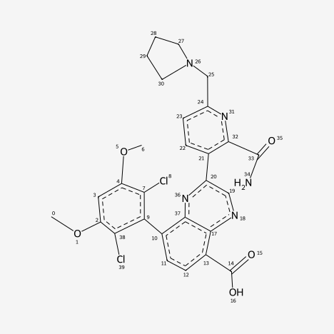 COc1cc(OC)c(Cl)c(-c2ccc(C(=O)O)c3ncc(-c4ccc(CN5CCCC5)nc4C(N)=O)nc23)c1Cl